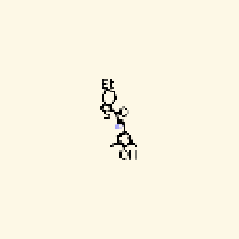 CCC1CCc2c(csc2C(=O)/C=C/c2cc(C)c(O)c(C)c2)C1